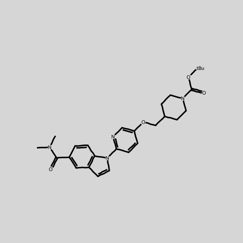 CN(C)C(=O)c1ccc2c(ccn2-c2ccc(OCC3CCN(C(=O)OC(C)(C)C)CC3)cn2)c1